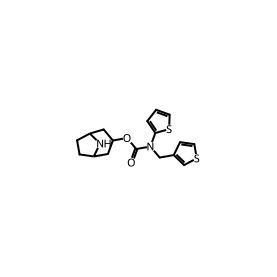 O=C(OC1CC2CCC(C1)N2)N(Cc1ccsc1)c1cccs1